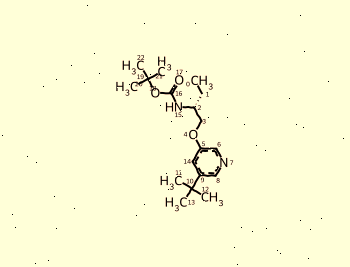 CC[C@H](COc1cncc(C(C)(C)C)c1)NC(=O)OC(C)(C)C